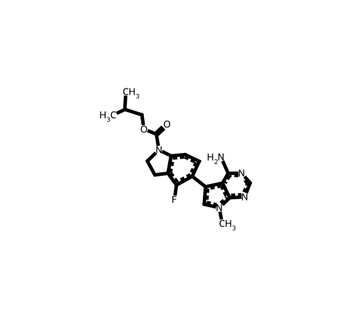 CC(C)COC(=O)N1CCc2c1ccc(-c1cn(C)c3ncnc(N)c13)c2F